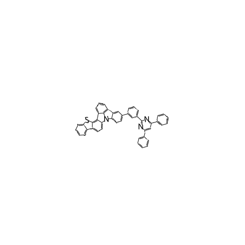 c1ccc(-c2cc(-c3ccccc3)nc(-c3cccc(-c4ccc5c(c4)c4cccc6c7c8sc9ccccc9c8ccc7n5c46)c3)n2)cc1